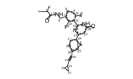 CC(C)C(=O)NCc1ccc(F)c(-c2nc(-c3ccc(C#CC4CC4)cn3)cc(=O)[nH]2)c1F